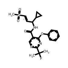 CC(C)(F)c1ncc(C(=O)NC(/C=C/S(C)(=O)=O)C2CC2)c(Oc2ccccc2)n1